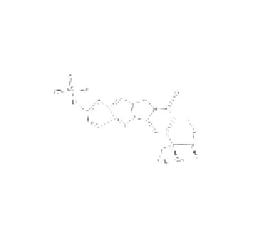 CC[C@@]1(O)C(=O)OCc2c1cc1n(c2=O)Cc2cc3cc(OS(=O)(=O)F)ccc3nc2-1